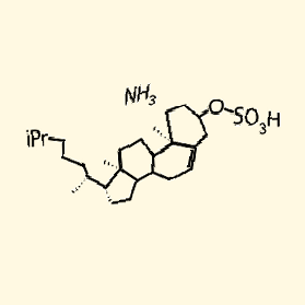 CC(C)CCC[C@@H](C)[C@H]1CCC2C3CC=C4CC(OS(=O)(=O)O)CC[C@]4(C)C3CC[C@@]21C.N